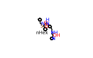 CCCCCCc1ccc(-c2sc(Cc3ccccc3)nc2S(=O)(=O)Nc2ccc(CCNCC(O)c3ccccn3)cc2)cc1